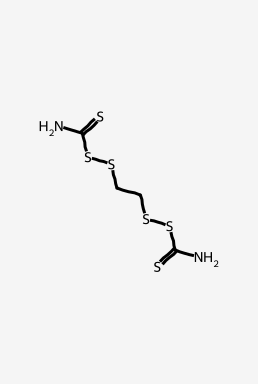 NC(=S)SSCCSSC(N)=S